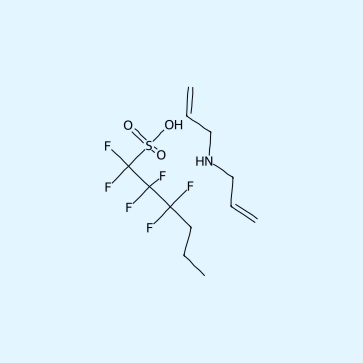 C=CCNCC=C.CCCC(F)(F)C(F)(F)C(F)(F)S(=O)(=O)O